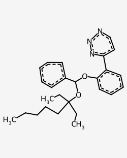 CCCCCC(CC)(CC)OC(Oc1ccccc1-c1ccnnn1)c1ccccc1